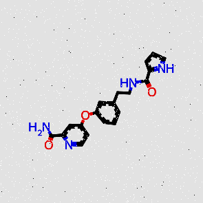 NC(=O)c1cc(Oc2cccc(CCNC(=O)c3ccc[nH]3)c2)ccn1